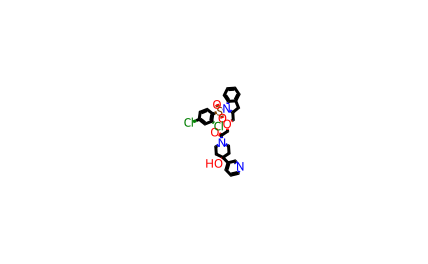 O=C(COCC1Cc2ccccc2N1S(=O)(=O)c1ccc(Cl)cc1Cl)N1CCC(O)(c2cccnc2)CC1